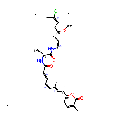 CC1=CC[C@@H]([C@@H](C)/C=C(C)/C=C\C=C\C(=O)N[C@H](C(=O)N/C=C\C[C@H](C/C=C(\C)Cl)OC(C)C)C(C)(C)C)OC1=O